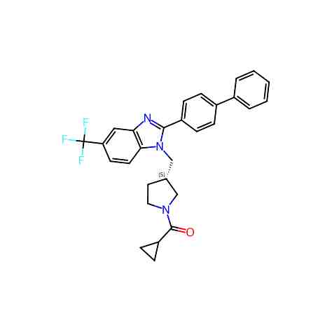 O=C(C1CC1)N1CC[C@H](Cn2c(-c3ccc(-c4ccccc4)cc3)nc3cc(C(F)(F)F)ccc32)C1